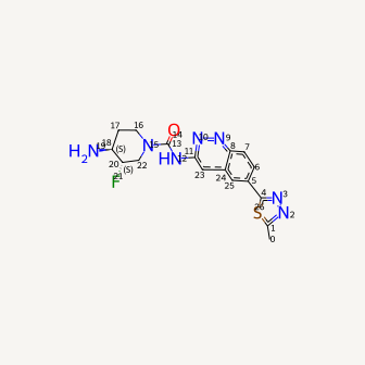 Cc1nnc(-c2ccc3nnc(NC(=O)N4CC[C@H](N)[C@@H](F)C4)cc3c2)s1